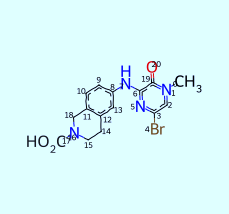 Cn1cc(Br)nc(Nc2ccc3c(c2)CCN(C(=O)O)C3)c1=O